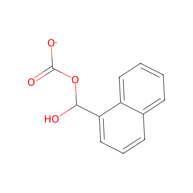 [O]C(=O)OC(O)c1cccc2ccccc12